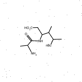 CCCCC(C)C(C)C(CC(=O)O)NC(=O)C(C)N